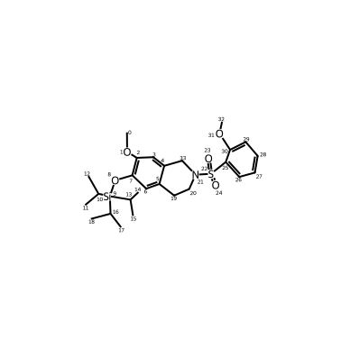 COc1cc2c(cc1O[Si](C(C)C)(C(C)C)C(C)C)CCN(S(=O)(=O)c1ccccc1OC)C2